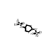 CCS(=O)(=O)OC1CCC(OS(=O)(=O)CC)CC1